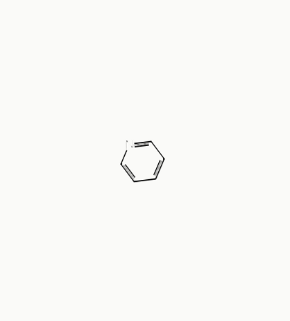 [c]1[c]ccn[c]1